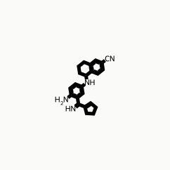 N#Cc1ccc2c(c1)CCCC2Nc1ccc(N)c(C(=N)C2=CCCC2)c1